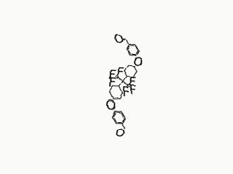 O=Cc1ccc(OC2CCC(C(C3CCC(Oc4ccc(C=O)cc4)CC3)(C(F)(F)F)C(F)(F)F)CC2)cc1